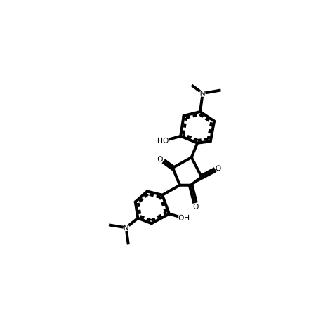 CN(C)c1ccc(C2C(=O)C(=O)C(c3ccc(N(C)C)cc3O)C2=O)c(O)c1